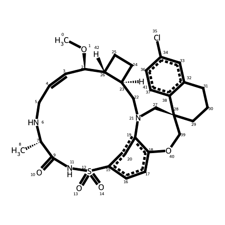 CO[C@@H]1/C=C\CN[C@@H](C)C(=O)NS(=O)(=O)c2ccc3c(c2)N(C[C@@H]2CC[C@H]21)C[C@@]1(CCCc2cc(Cl)ccc21)CO3